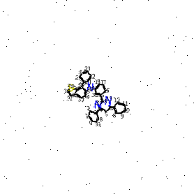 c1ccc(-c2cc(-c3ccccc3)nc(-c3cccc(-n4c5ccccc5c5c6sccc6ccc54)c3)n2)cc1